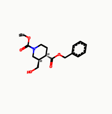 CC(C)(C)OC(=O)N1CC[C@H](C(=O)OCc2ccccc2)[C@@H](CO)C1